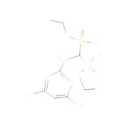 CCOP(=O)(O)C(Nc1nc(O)cc(O)n1)P(=O)(O)OCC